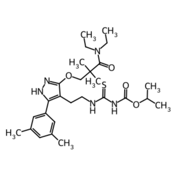 CCN(CC)C(=O)C(C)(C)COc1n[nH]c(-c2cc(C)cc(C)c2)c1CCNC(=S)NC(=O)OC(C)C